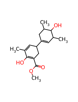 COC(=O)C1=C(O)C(C)=CC(C2=CC(C)C(O)C(C)C2)C1